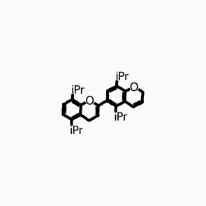 CC(C)c1ccc(C(C)C)c2c1CC=C(c1cc(C(C)C)c3c(c1C(C)C)C=CCO3)O2